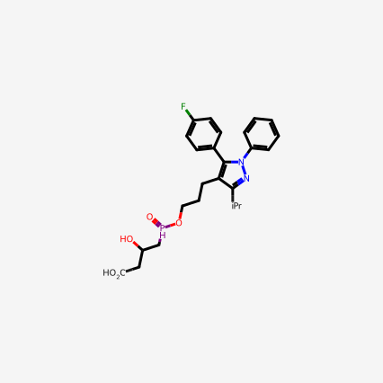 CC(C)c1nn(-c2ccccc2)c(-c2ccc(F)cc2)c1CCCO[PH](=O)CC(O)CC(=O)O